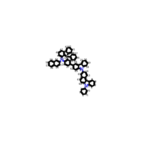 c1ccc(-n2c3ccccc3c3c4ccc(-n5c6ccccc6c6cc(-c7ccc8c(c7)[Si](c7ccccc7)(c7ccccc7)c7ccccc7N8c7ccc8ccccc8c7)ccc65)cc4ccc32)cc1